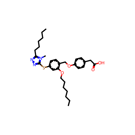 CCCCCCCOc1cc(Sc2nnc(CCCCCC)n2C)ccc1COc1ccc(CC(=O)O)cc1